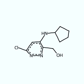 OCc1nnc(Cl)cc1NC1CCCC1